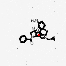 Nc1ccc2c(c1)C13CCN(CC4CC4)C(C2)C12CCC1C3[C@@H](CN1C(=O)c1ccccc1)O2